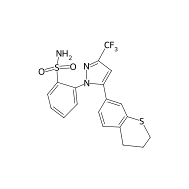 NS(=O)(=O)c1ccccc1-n1nc(C(F)(F)F)cc1-c1ccc2c(c1)SCCC2